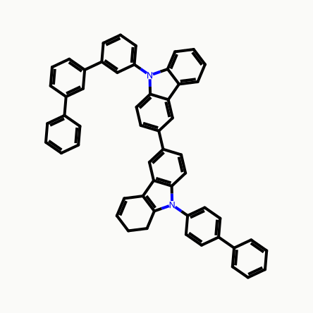 C1=Cc2c(n(-c3ccc(-c4ccccc4)cc3)c3ccc(-c4ccc5c(c4)c4ccccc4n5-c4cccc(-c5cccc(-c6ccccc6)c5)c4)cc23)CC1